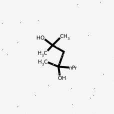 CCCC(C)(O)CC(C)(C)O